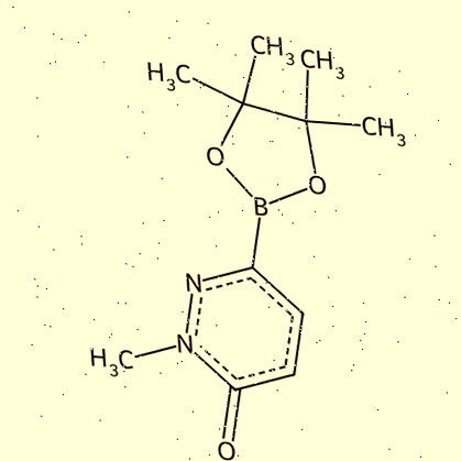 Cn1nc(B2OC(C)(C)C(C)(C)O2)ccc1=O